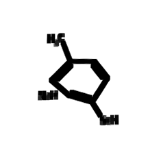 Cc1ccc([SeH])cc1.[NaH]